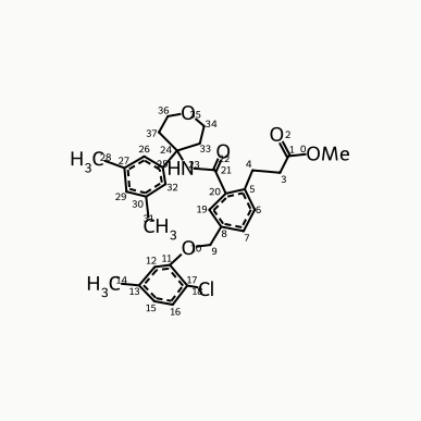 COC(=O)CCc1ccc(COc2cc(C)ccc2Cl)cc1C(=O)NC1(c2cc(C)cc(C)c2)CCOCC1